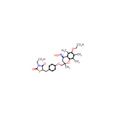 Cc1c(C)c2c(c(C)c1OCC(=O)O)/C(=N/O)CC(C)(COc1ccc(CC3SC(=O)N(CC(=O)O)C3=O)cc1)O2